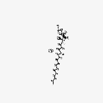 CCCCCCCCCCCCCCCCCC(=O)N[N+](C)(C)CCC.[Cl-]